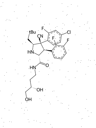 CC(C)(C)C[C@@H]1N[C@@H](C(=O)NCC[C@H](O)CO)[C@H](c2cccc(F)c2F)[C@@]1(C#N)c1ccc(Cl)cc1F